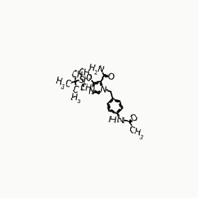 CC(=O)Nc1ccc(Cn2cnc(O[Si](C)(C)C(C)(C)C)c2C(N)=O)cc1